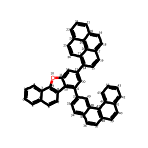 c1ccc2c(c1)ccc1c2oc2cc(-c3ccc4ccc5cccc6ccc3c4c56)cc(-c3ccc4ccc5ccc6ccccc6c5c4c3)c21